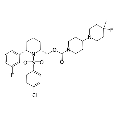 CC1(F)CCN(C2CCN(C(=O)OC[C@H]3CCC[C@@H](c4cccc(F)c4)N3S(=O)(=O)c3ccc(Cl)cc3)CC2)CC1